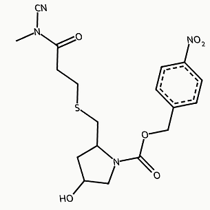 CN(C#N)C(=O)CCSCC1CC(O)CN1C(=O)OCc1ccc([N+](=O)[O-])cc1